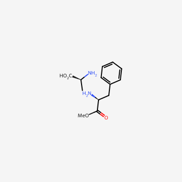 COC(=O)[C@@H](N)Cc1ccccc1.C[C@H](N)C(=O)O